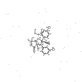 CCC(CC)[C@H]1N2[C@@H](C(=O)OC2(C)C)[C@H](c2cccc(Cl)c2)[C@@]1(C#N)c1ccc(Cl)cc1